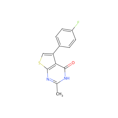 Cc1nc2scc(-c3ccc(F)cc3)c2c(=O)[nH]1